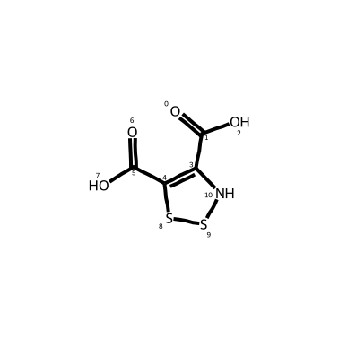 O=C(O)C1=C(C(=O)O)SSN1